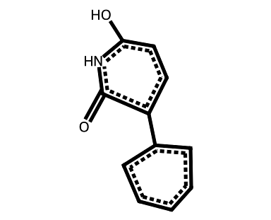 O=c1[nH]c(O)ccc1-c1ccccc1